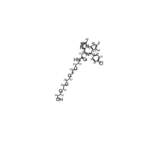 Cc1sc2c(c1C)C(c1ccc(Cl)cc1)=N[C@@H](CC(=O)NCCOCCOCCOCCOCCO)c1nnc(C)n1-2